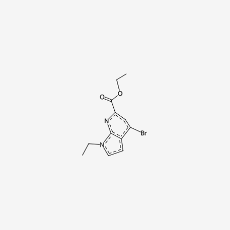 CCOC(=O)c1cc(Br)c2ccn(CC)c2n1